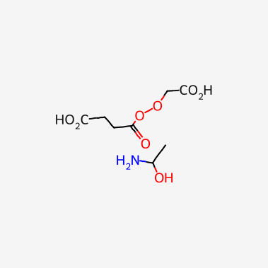 CC(N)O.O=C(O)CCC(=O)OOCC(=O)O